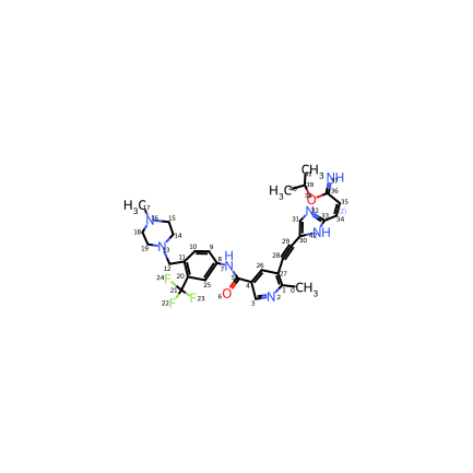 Cc1ncc(C(=O)Nc2ccc(CN3CCN(C)CC3)c(C(F)(F)F)c2)cc1C#Cc1cnc(/C=C\C(=N)OC(C)C)[nH]1